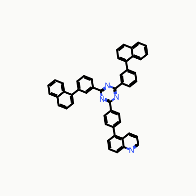 c1cc(-c2nc(-c3ccc(-c4cccc5ncccc45)cc3)nc(-c3cccc(-c4cccc5ccccc45)c3)n2)cc(-c2cccc3ccccc23)c1